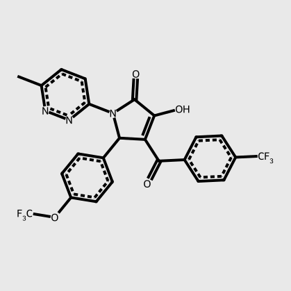 Cc1ccc(N2C(=O)C(O)=C(C(=O)c3ccc(C(F)(F)F)cc3)C2c2ccc(OC(F)(F)F)cc2)nn1